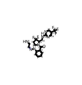 N=C/C=N\Nc1ccccc1C(=O)N1CCC(F)(F)C1CNc1ncc(C(F)(F)F)cn1